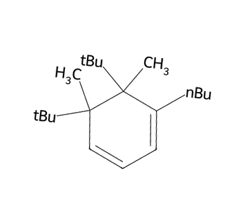 CCCCC1=CC=CC(C)(C(C)(C)C)C1(C)C(C)(C)C